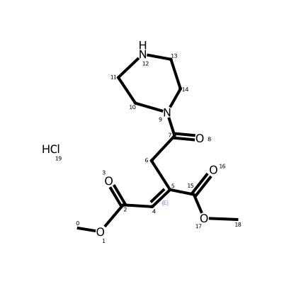 COC(=O)/C=C(\CC(=O)N1CCNCC1)C(=O)OC.Cl